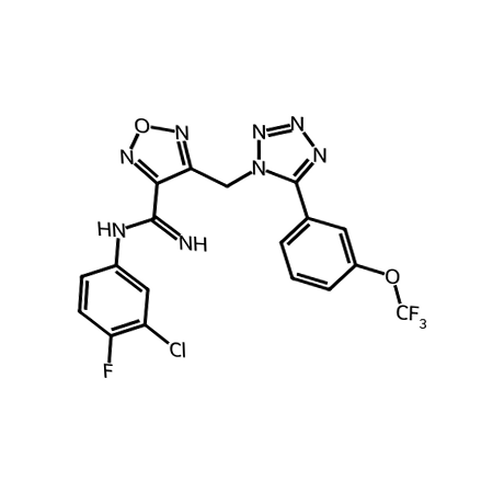 N=C(Nc1ccc(F)c(Cl)c1)c1nonc1Cn1nnnc1-c1cccc(OC(F)(F)F)c1